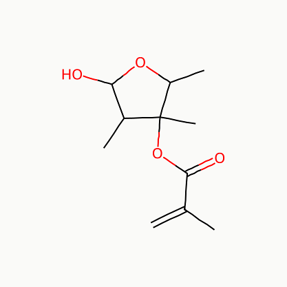 C=C(C)C(=O)OC1(C)C(C)OC(O)C1C